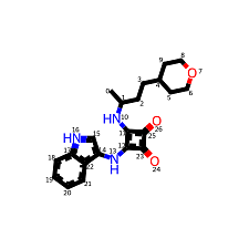 CC(CCC1CCOCC1)Nc1c(Nc2c[nH]c3ccccc23)c(=O)c1=O